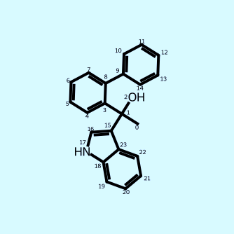 CC(O)(c1ccccc1-c1ccccc1)c1c[nH]c2ccccc12